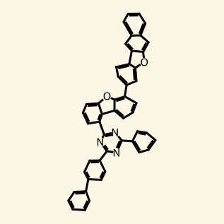 c1ccc(-c2ccc(-c3nc(-c4ccccc4)nc(-c4cccc5oc6c(-c7ccc8c(c7)oc7cc9ccccc9cc78)cccc6c45)n3)cc2)cc1